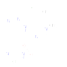 Cc1ccc(Nc2ncnc3ccc(-c4cnc(Cl)c(NS(=O)(=O)CCN5CCN(C)CC5)c4)cc23)cc1Cl